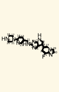 Fc1cc(-c2c[nH]c3nc(NCc4ccc(N5CCNCC5)nc4)ncc23)cn2ccnc12